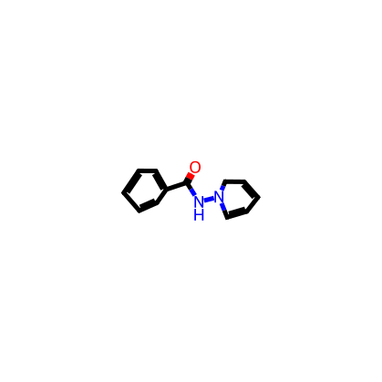 O=C(NN1C=CC=CC1)c1ccccc1